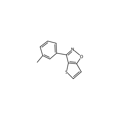 Cc1cccc(-c2noc3ccsc23)c1